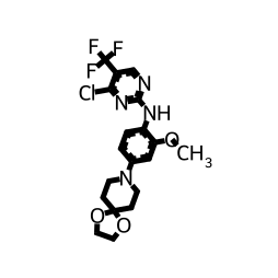 COc1cc(N2CCC3(CC2)OCCO3)ccc1Nc1ncc(C(F)(F)F)c(Cl)n1